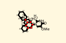 C=C1NC(=O)C(OC)=CN1c1nc2c(n(C3CC4CCCC(C3)N4C3CC4CCCC(C4)C3)c1=O)=CCCC=2